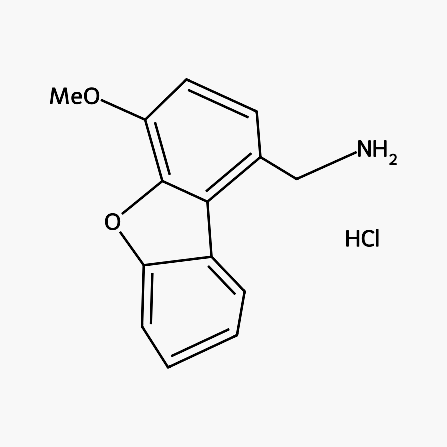 COc1ccc(CN)c2c1oc1ccccc12.Cl